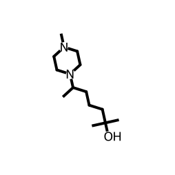 CC(CCCC(C)(C)O)N1CCN(C)CC1